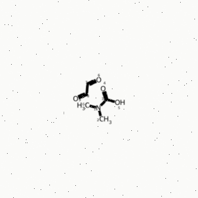 CN(C)C(=O)O.O=CC=O